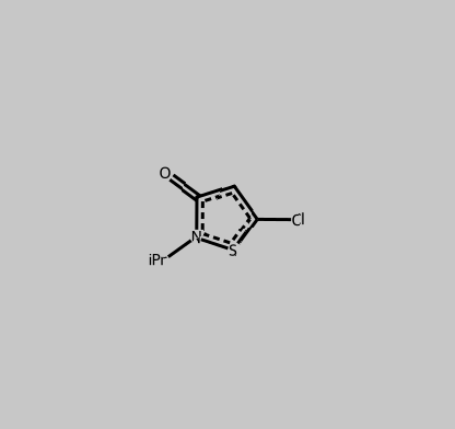 CC(C)n1sc(Cl)cc1=O